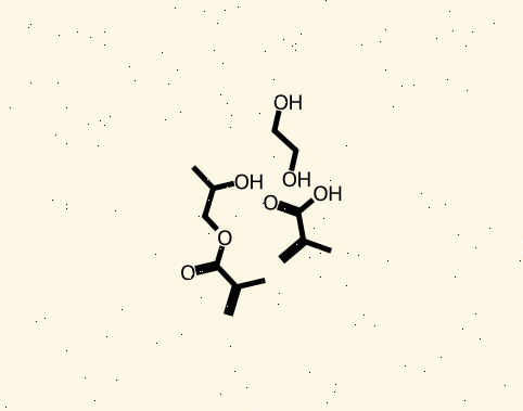 C=C(C)C(=O)O.C=C(C)C(=O)OCC(C)O.OCCO